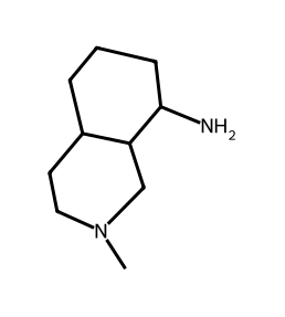 CN1CCC2CCCC(N)C2C1